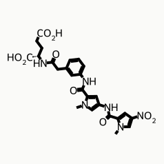 Cn1cc(NC(=O)c2cc([N+](=O)[O-])cn2C)cc1C(=O)Nc1cccc(CC(=O)N[C@@H](CCC(=O)O)C(=O)O)c1